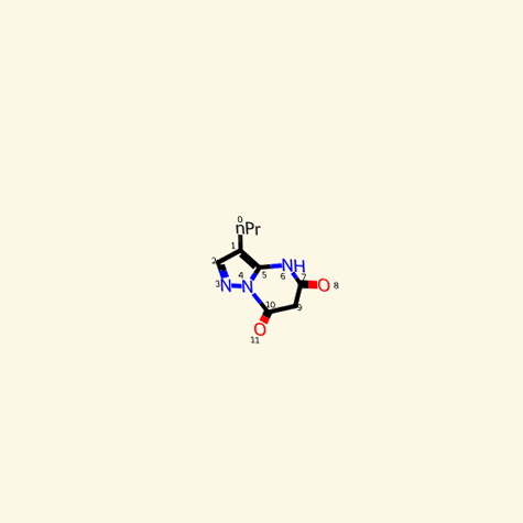 CCCc1cnn2c1NC(=O)CC2=O